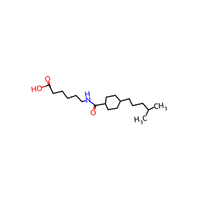 CC(C)CCCC1CCC(C(=O)NCCCCCC(=O)O)CC1